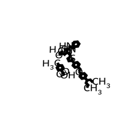 CCCC(CCC)c1ccc(OCc2ccc(-c3ccc(CN(CC(=O)O)C(C)c4nc5ccccc5[nH]4)s3)cc2)cc1.Cc1ccc(S(=O)(=O)O)cc1